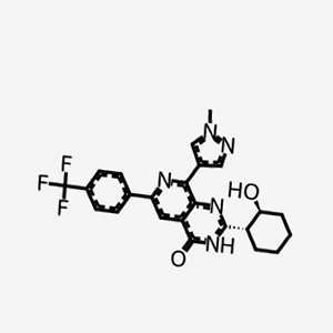 Cn1cc(-c2nc(-c3ccc(C(F)(F)F)cc3)cc3c(=O)[nH]c([C@H]4CCCC[C@@H]4O)nc23)cn1